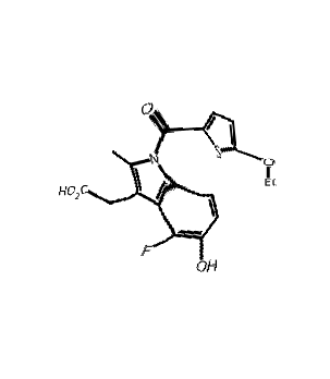 CCOc1ccc(C(=O)n2c(C)c(CC(=O)O)c3c(F)c(O)ccc32)s1